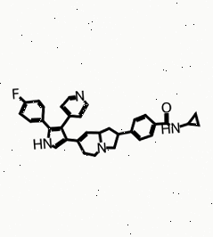 O=C(NC1CC1)c1ccc(C2CC3C=C(c4c[nH]c(-c5ccc(F)cc5)c4-c4ccncc4)CCN3C2)cc1